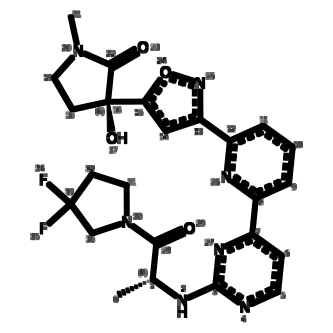 C[C@@H](Nc1nccc(-c2cccc(-c3cc([C@]4(O)CCN(C)C4=O)on3)n2)n1)C(=O)N1CCC(F)(F)C1